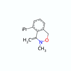 C=C1c2c(cccc2C(C)C)CON1C